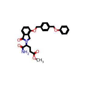 COC(=O)CCC(C(N)=O)N1Cc2c(OCc3ccc(COc4ccccc4)cc3)cccc2C1=O